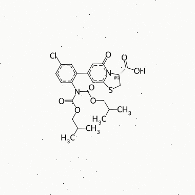 CC(C)COC(=O)N(C(=O)OCC(C)C)c1ccc(Cl)cc1-c1cc2n(c(=O)c1)[C@H](C(=O)O)CS2